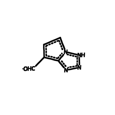 O=[C]c1ccn2[nH]nnc12